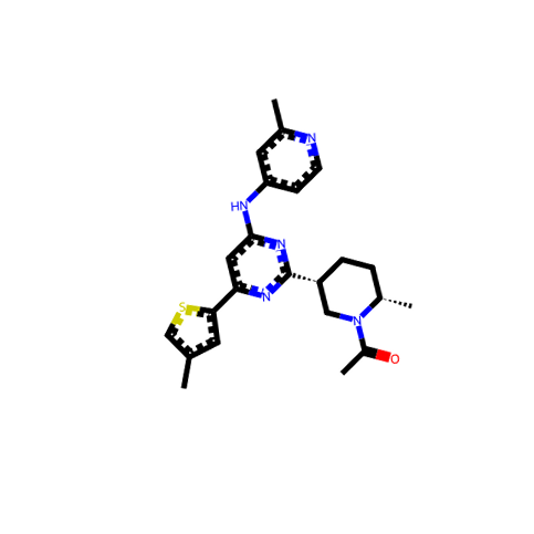 CC(=O)N1C[C@H](c2nc(Nc3ccnc(C)c3)cc(-c3cc(C)cs3)n2)CC[C@@H]1C